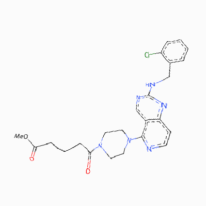 COC(=O)CCCC(=O)N1CCN(c2nccc3nc(NCc4ccccc4Cl)ncc23)CC1